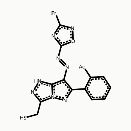 CC(=O)c1ccccc1-c1nn2c(CS)n[nH]c2c1/N=N/c1nc(C(C)C)no1